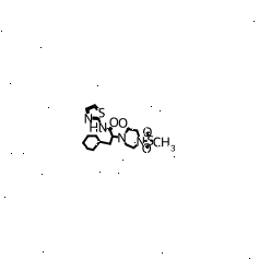 CS(=O)(=O)N1CCN(C(CC2CCCCC2)C(=O)Nc2nccs2)C(=O)C1